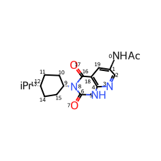 CC(=O)Nc1cnc2[nH]c(=O)n([C@H]3CC[C@@H](C(C)C)CC3)c(=O)c2c1